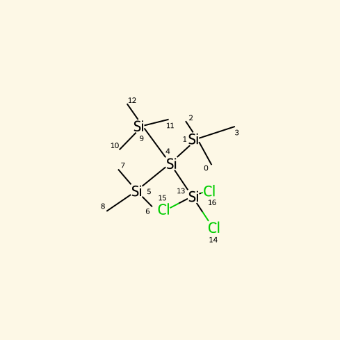 C[Si](C)(C)[Si]([Si](C)(C)C)([Si](C)(C)C)[Si](Cl)(Cl)Cl